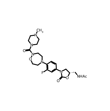 CC(=O)NC[C@H]1CN(c2ccc(N3CCON(C(=O)N4CCN(C)CC4)CC3)c(F)c2)C(=O)O1